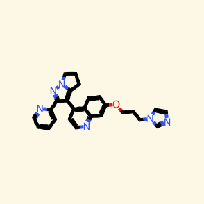 c1ccc(-c2nn3c(c2-c2ccnc4cc(OCCCn5ccnc5)ccc24)CCC3)nc1